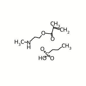 C=C(C)C(=O)OCCNC.CCCS(=O)(=O)O